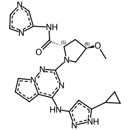 CO[C@@H]1C[C@@H](C(=O)Nc2cnccn2)N(c2nc(Nc3cc(C4CC4)[nH]n3)c3cccn3n2)C1